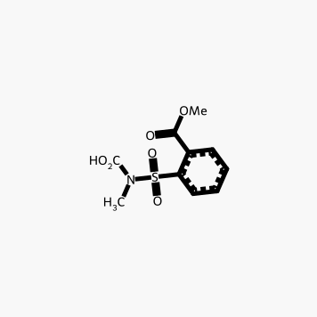 COC(=O)c1ccccc1S(=O)(=O)N(C)C(=O)O